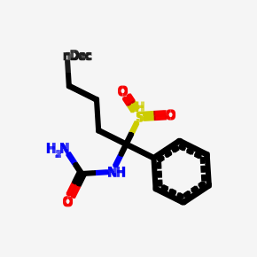 CCCCCCCCCCCCCC(NC(N)=O)(c1ccccc1)[SH](=O)=O